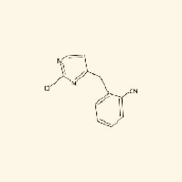 N#Cc1ccccc1Cc1ccnc(Cl)n1